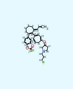 C=C/C=C1\CCCCC(c2ccc3c(c2)OC(F)(F)O3)=C1C1=CC=C(O[C@H]2CCN(CCCF)C2)CC=C1